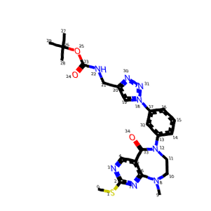 CSc1ncc2c(n1)N(C)CCN(c1cccc(-n3cc(CNC(=O)OC(C)(C)C)nn3)c1)C2=O